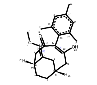 CO/N=C1/C[C@H]2CC[C@@H]1CC(=O)/C(c1c(C)cc(C)cc1C)=C(/O)C2